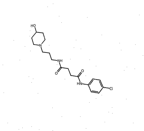 O=C(CCC(=O)Nc1ccc(Cl)cc1)NCCCN1CCC(O)CC1